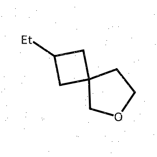 CCC1CC2(CCOC2)C1